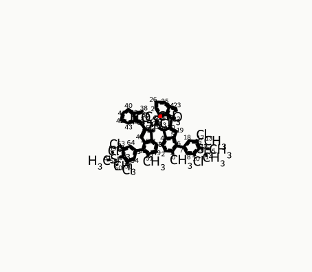 Cc1ccc2c(c1-c1cc(Cl)c([Si](C)(C)C)c(Cl)c1)C=C(c1occ3ccccc13)[CH]2[Zr]([Cl])([Cl])([CH]1C(c2occ3ccccc23)=Cc2c1ccc(C)c2-c1cc(Cl)c([Si](C)(C)C)c(Cl)c1)=[Si](C)C